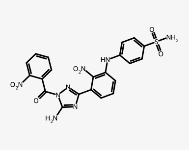 Nc1nc(-c2cccc(Nc3ccc(S(N)(=O)=O)cc3)c2[N+](=O)[O-])nn1C(=O)c1ccccc1[N+](=O)[O-]